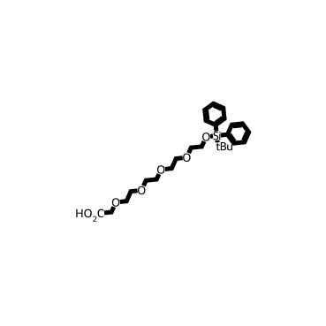 CC(C)(C)[Si](OCCOCCOCCOCCOCC(=O)O)(c1ccccc1)c1ccccc1